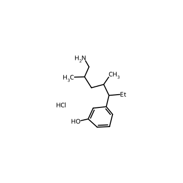 CCC(c1cccc(O)c1)C(C)CC(C)CN.Cl